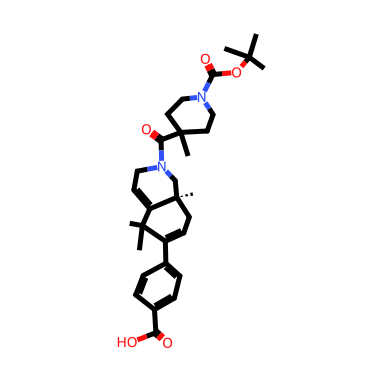 CC(C)(C)OC(=O)N1CCC(C)(C(=O)N2CC=C3C(C)(C)C(c4ccc(C(=O)O)cc4)=CC[C@]3(C)C2)CC1